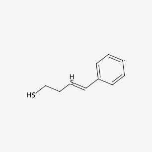 SCC[SH]=Cc1cc[c]cc1